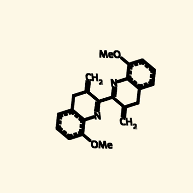 C=C1Cc2cccc(OC)c2N=C1C1=Nc2c(cccc2OC)CC1=C